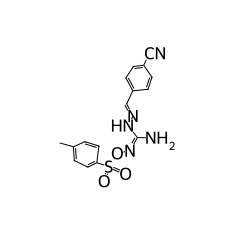 Cc1ccc(S(=O)(=O)ON=C(N)NN=Cc2ccc(C#N)cc2)cc1